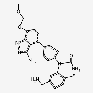 COCOc1ccc(-c2ccc(N(C(N)=O)c3cc(CN)ccc3F)cc2)c2c(N)n[nH]c12